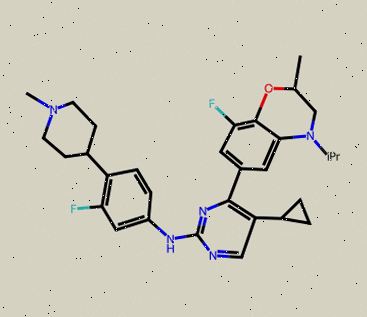 CC1CN(C(C)C)c2cc(-c3nc(Nc4ccc(C5CCN(C)CC5)c(F)c4)ncc3C3CC3)cc(F)c2O1